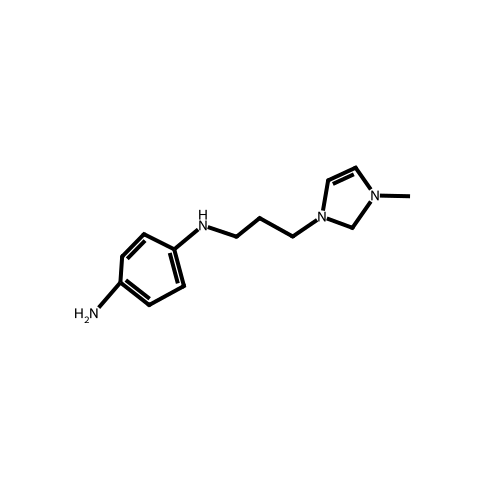 CN1C=CN(CCCNc2ccc(N)cc2)C1